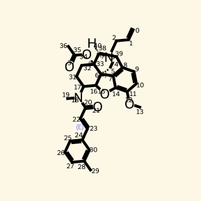 C=CCN1CC[C@]23c4c5ccc(OC)c4OC2C(N(C)C(=O)/C=C/c2cccc(C)c2)CC[C@@]3(OC(C)=O)[C@H]1C5